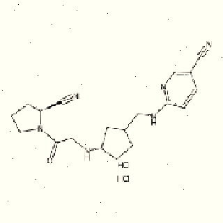 Cl.Cl.N#Cc1ccc(NCC2CCC(NCC(=O)N3CCC[C@H]3C#N)C2)nc1